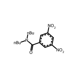 CCCCN(CCCC)C(=O)c1cc([N+](=O)[O-])cc([N+](=O)[O-])c1